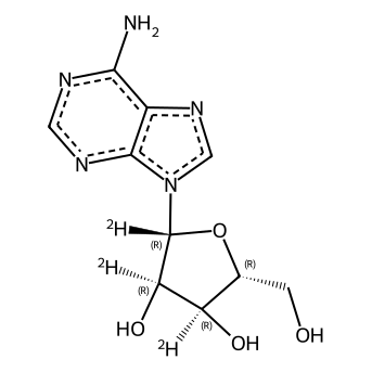 [2H][C@]1(O)[C@]([2H])(n2cnc3c(N)ncnc32)O[C@H](CO)[C@@]1([2H])O